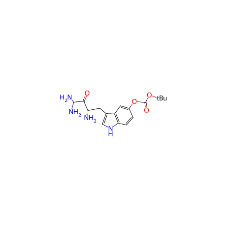 CC(C)(C)OC(=O)Oc1ccc2[nH]cc(C[C@H](N)C(=O)C(N)N)c2c1